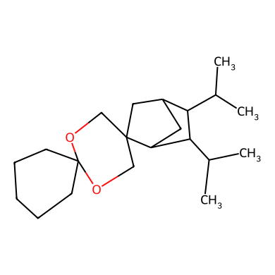 CC(C)C1C2CC(C1C(C)C)C1(COC3(CCCCC3)OC1)C2